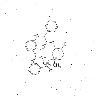 CNC(=O)c1cccc(NC(C(=O)O[C@H]2C[N+](C)(CC(=O)c3ccccc3)CCC2C)c2ccccc2)c1